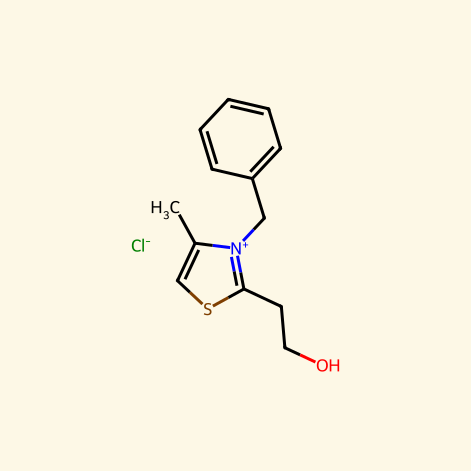 Cc1csc(CCO)[n+]1Cc1ccccc1.[Cl-]